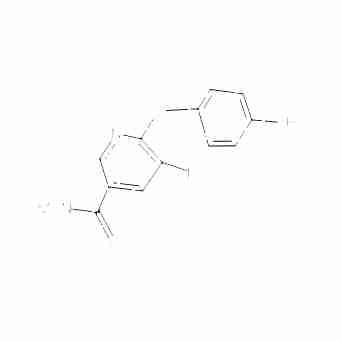 CNC(=O)c1cnc(Oc2ccc(C(C)(C)C)cc2)c(F)c1